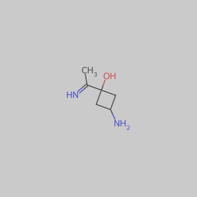 CC(=N)C1(O)CC(N)C1